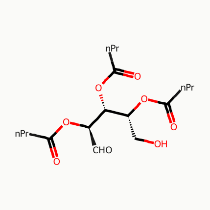 CCCC(=O)O[C@@H]([C@@H](C=O)OC(=O)CCC)[C@@H](CO)OC(=O)CCC